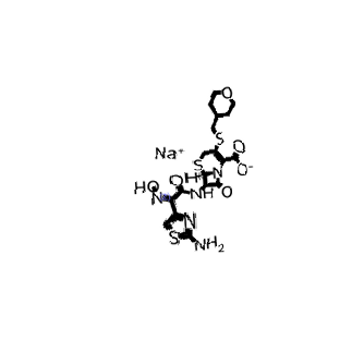 Nc1nc(/C(=N/O)C(=O)NC2C(=O)N3C(C(=O)[O-])=C(SCC4CCOCC4)CS[C@@H]23)cs1.[Na+]